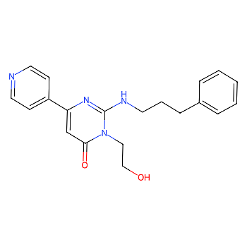 O=c1cc(-c2ccncc2)nc(NCCCc2ccccc2)n1CCO